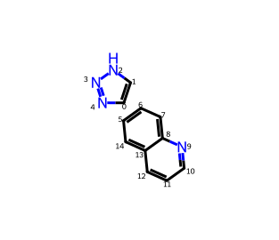 c1c[nH]nn1.c1ccc2ncccc2c1